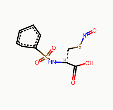 O=NSC[C@@H](NS(=O)(=O)c1ccccc1)C(=O)O